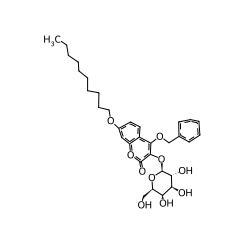 CCCCCCCCCCOc1ccc2c(OCc3ccccc3)c(O[C@@H]3O[C@H](CO)[C@H](O)[C@H](O)[C@H]3O)c(=O)oc2c1